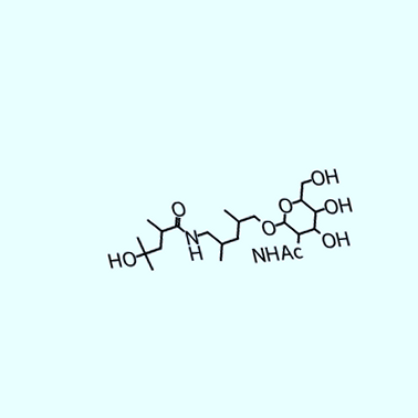 CC(=O)NC1C(OCC(C)CC(C)CNC(=O)C(C)CC(C)(C)O)OC(CO)C(O)C1O